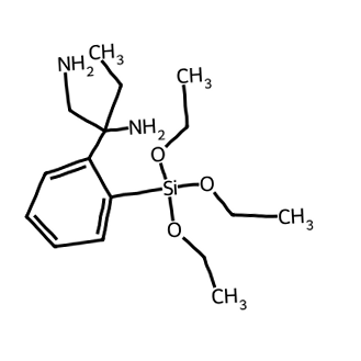 CCO[Si](OCC)(OCC)c1ccccc1C(N)(CC)CN